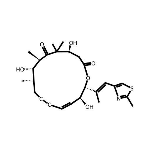 C/C(=C\c1csc(C)n1)[C@H]1OC(=O)C[C@H](O)C(C)(C)C(=O)[C@H](C)[C@@H](O)[C@@H](C)CCC/C=C\[C@@H]1O